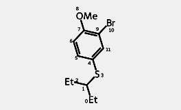 CCC(CC)Sc1ccc(OC)c(Br)c1